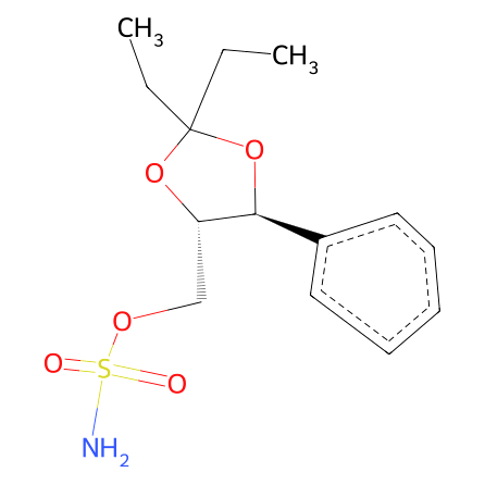 CCC1(CC)O[C@@H](COS(N)(=O)=O)[C@H](c2ccccc2)O1